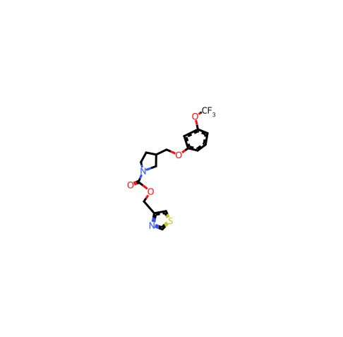 O=C(OCc1cscn1)N1CCC(COc2cccc(OC(F)(F)F)c2)C1